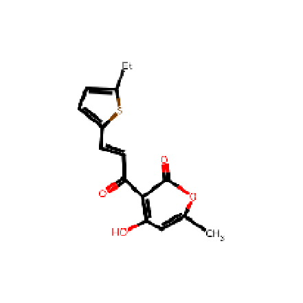 CCc1ccc(C=CC(=O)c2c(O)cc(C)oc2=O)s1